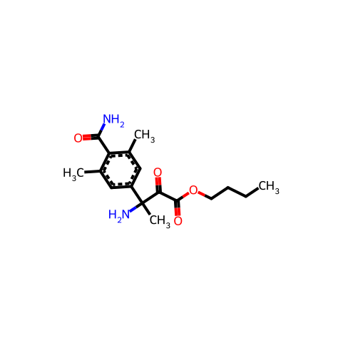 CCCCOC(=O)C(=O)C(C)(N)c1cc(C)c(C(N)=O)c(C)c1